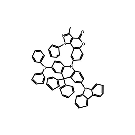 Cc1nn(-c2ccccc2)c2c1c(=O)oc1ccc(N3c4ccc(N(c5ccccc5)c5ccccc5)cc4C(c4ccccc4)(c4ccccc4)c4cc(-n5c6ccccc6c6ccccc65)ccc43)cc12